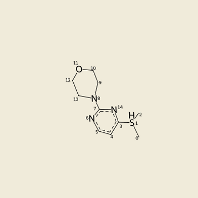 C[SH](C)c1ccnc(N2CCOCC2)n1